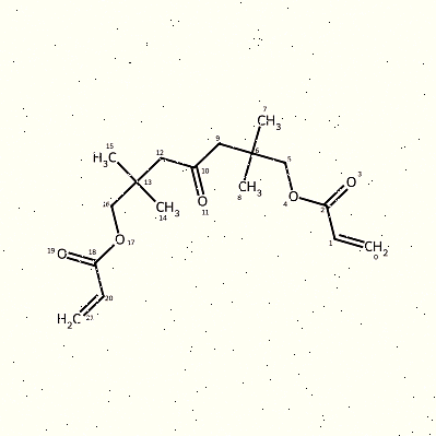 C=CC(=O)OCC(C)(C)CC(=O)CC(C)(C)COC(=O)C=C